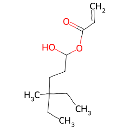 C=CC(=O)OC(O)CCC(C)(CC)CC